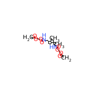 C=CC(=O)OCCOC(=O)NCCC1CCC2C1C(C)CC2(CC)CCNC(=O)OCCOC(=O)C=C